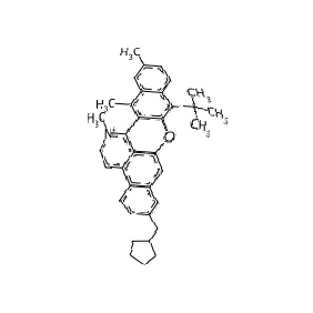 Cc1ccc2c(C(C)(C)C)c3c(c(C)c2c1)-c1c2c(cc4cc(CC5CCCC5)ccc4c2cc[n+]1C)O3